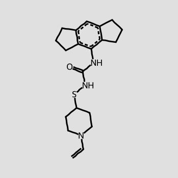 C=CN1CCC(SNC(=O)Nc2c3c(cc4c2CCC4)CCC3)CC1